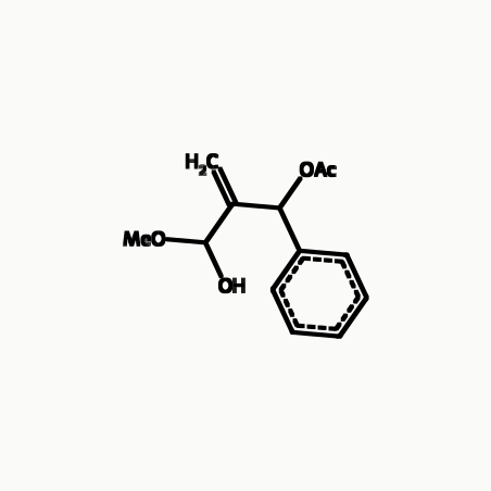 C=C(C(O)OC)C(OC(C)=O)c1ccccc1